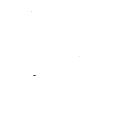 COc1ccc(S(=O)(=O)N(c2ccc(C(C[C@@H](C)NC(=O)O)C3C(=O)OCC3(C)C)cc2O)C2CCCC2)cc1